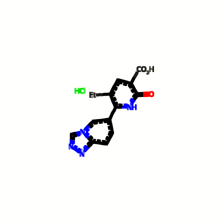 CCc1cc(C(=O)O)c(=O)[nH]c1-c1ccc2nncn2c1.Cl